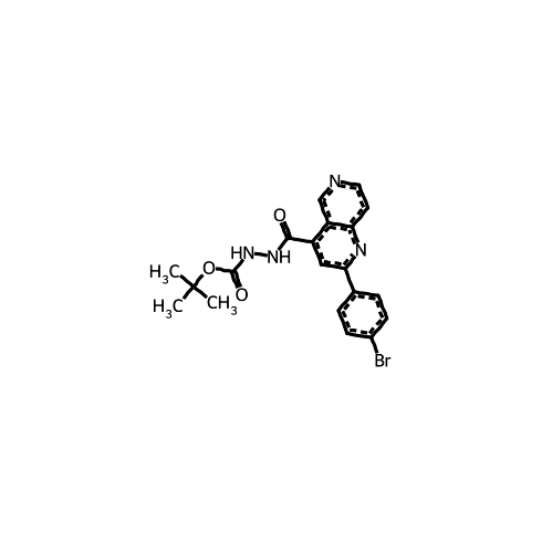 CC(C)(C)OC(=O)NNC(=O)c1cc(-c2ccc(Br)cc2)nc2ccncc12